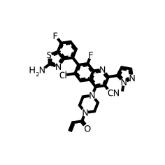 C=CC(=O)N1CCN(c2c(C#N)c(-c3ccnn3C)nc3c(F)c(-c4ccc(F)c5sc(N)nc45)c(Cl)cc23)CC1